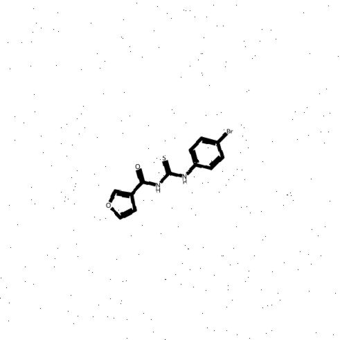 O=C(NC(=S)Nc1ccc(Br)cc1)c1ccoc1